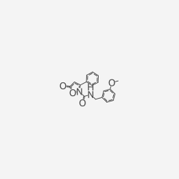 COc1cccc(CNC(=O)n2oc(=O)cc2-c2ccccc2)c1